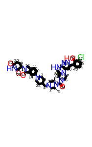 C[C@@H]1CN(CC2CCN(c3ccc4c(c3)C(=O)N([C@H]3CCC(=O)NC3=O)C4)CC2)C[C@@H](C)N1C(=O)N1CCN2c3cc(-c4cccc(Cl)c4O)nnc3NC[C@@]2(C)C1